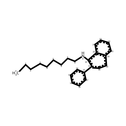 CCCCCCCCCNc1c(-c2ccccc2)ccc2ccccc12